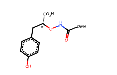 COC(=O)NO[C@H](Cc1ccc(O)cc1)C(=O)O